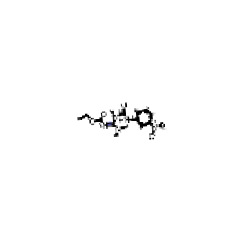 CCOC(=O)/N=C(/N(C)C)N(C)C(=O)Nc1cccc([N+](=O)[O-])c1